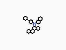 c1ccc(-c2ccc(N(c3ccc4ccccc4c3)c3cc4c5ccccc5ccc4c4ccccc34)cc2)cc1